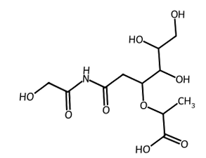 CC(OC(CC(=O)NC(=O)CO)C(O)C(O)CO)C(=O)O